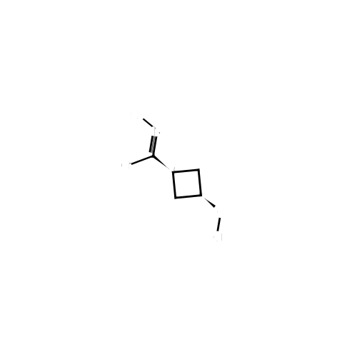 ON=C(Cl)[C@H]1C[C@@H](OC(F)(F)F)C1